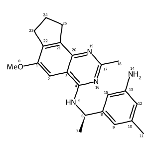 COc1cc2c(N[C@H](C)c3cc(C)cc(N)c3)nc(C)nc2c2c1CCC2